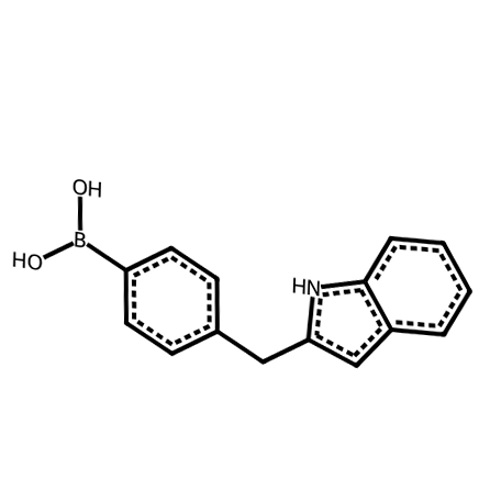 OB(O)c1ccc(Cc2cc3ccccc3[nH]2)cc1